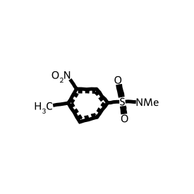 CNS(=O)(=O)c1ccc(C)c([N+](=O)[O-])c1